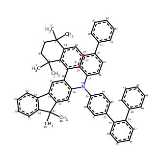 CC1(C)CCC(C)(C)c2c(-c3cc4c(cc3N(c3ccc(-c5ccccc5)cc3)c3ccc(-c5ccccc5-c5ccccc5)cc3)C(C)(C)c3ccccc3-4)cccc21